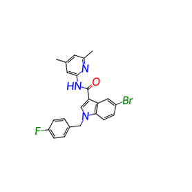 Cc1cc(C)nc(NC(=O)c2cn(Cc3ccc(F)cc3)c3ccc(Br)cc23)c1